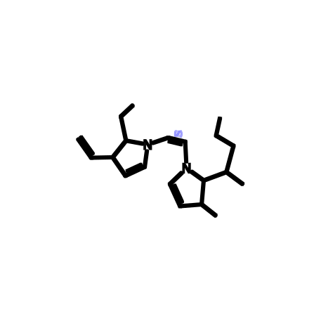 C=CC1C=CN(/C=C\N2C=CC(C)C2C(C)CCC)C1CC